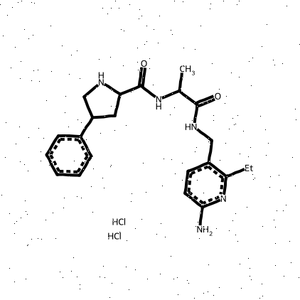 CCc1nc(N)ccc1CNC(=O)C(C)NC(=O)C1CC(c2ccccc2)CN1.Cl.Cl